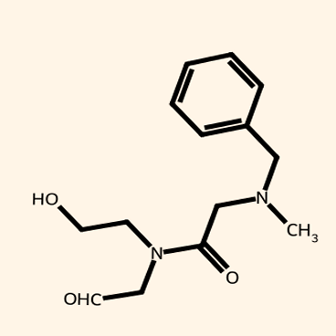 CN(CC(=O)N(CC=O)CCO)Cc1ccccc1